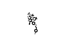 C#Cc1nc(C)c(C(OC(C)(C)C)C(=O)OC(C)C)c(N2CCC(C)(C)CC2)c1-c1ccc(OCCc2ccc(F)cc2)cc1